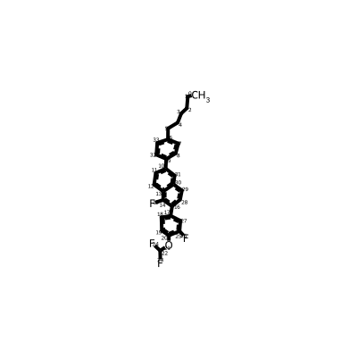 CCCCCCc1ccc(-c2ccc3c(F)c(-c4ccc(OC(F)F)c(F)c4)ccc3c2)cc1